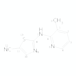 Cc1cccnc1Nc1ncc(C#N)s1